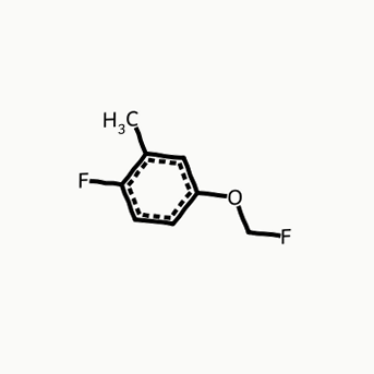 Cc1cc(OCF)ccc1F